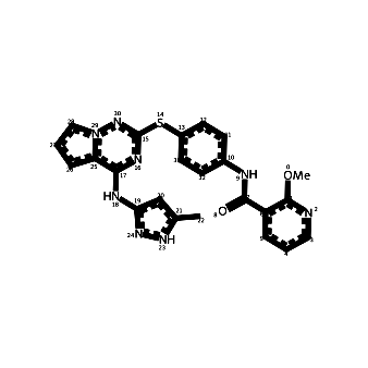 COc1ncccc1C(=O)Nc1ccc(Sc2nc(Nc3cc(C)[nH]n3)c3cccn3n2)cc1